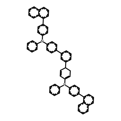 C1=CC(c2cccc(-c3ccc(N(c4ccccc4)c4ccc(-c5cccc6ccccc56)cc4)cc3)c2)CC=C1N(c1ccccc1)c1ccc(-c2cccc3ccccc23)cc1